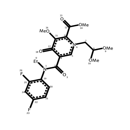 CCN(C(=O)c1cn(CC(OC)OC)c(C(=O)OC)c(OC)c1=O)c1ccc(F)cc1F